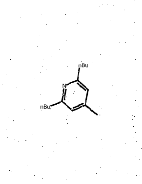 [CH2]c1cc(CCCC)nc(CCCC)c1